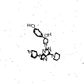 Oc1ccc(C2(O)CCN(c3nc(N4CCCCC4)c4ncn(-c5ccncc5)c4n3)CC2)cc1